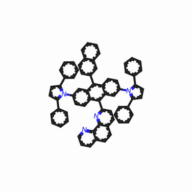 c1ccc(-c2ccc(-c3ccccc3)n2-c2ccc3c(-c4ccc5ccc6cccnc6c5n4)c4cc(-n5c(-c6ccccc6)ccc5-c5ccccc5)ccc4c(-c4ccc5ccccc5c4)c3c2)cc1